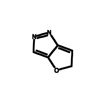 C1=C2N=NC=C2OC1